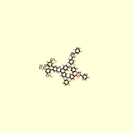 Cc1cc(C)cc(-c2cc3nc(-c4ccc(N(c5ccccc5)c5ccc(-c6nnc(-c7ccccc7)o6)cc5)cc4)c(-c4ccc(N(c5ccccc5)c5ccc(-c6nnc(-c7ccccc7)o6)cc5)cc4)nc3cc2-c2cc(C)cc(C)c2)c1